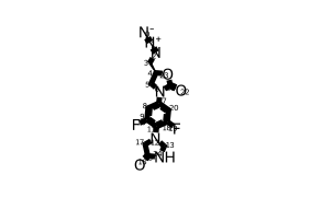 [N-]=[N+]=NC[C@@H]1CN(c2cc(F)c(N3CNC(=O)C3)c(F)c2)C(=O)O1